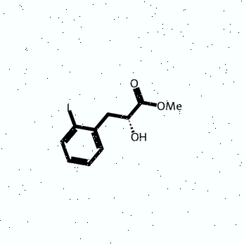 COC(=O)[C@H](O)Cc1ccccc1I